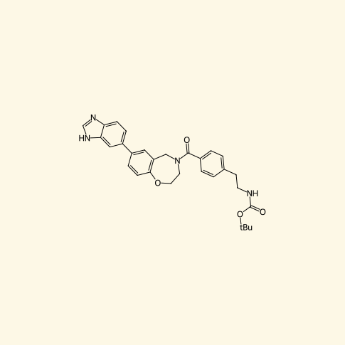 CC(C)(C)OC(=O)NCCc1ccc(C(=O)N2CCOc3ccc(-c4ccc5nc[nH]c5c4)cc3C2)cc1